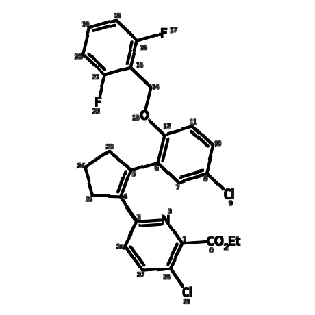 CCOC(=O)c1nc(C2=C(c3cc(Cl)ccc3OCc3c(F)cccc3F)CCC2)ccc1Cl